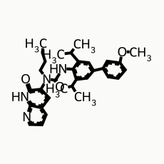 CCCCN(C(=O)Nc1c(C(C)C)cc(-c2cccc(OC)c2)cc1C(C)C)c1cc2cccnc2[nH]c1=O